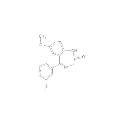 COc1ccc2c(c1)C(c1cccc(F)c1)=NCC(=O)N2